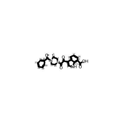 C[C@@H]1CN(C(=O)C(=O)c2c[nH]c3c(C(=O)O)cccc23)CCN1C(=O)c1ccccc1